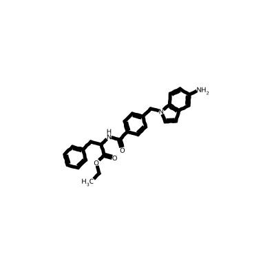 CCOC(=O)C(Cc1ccccc1)NC(=O)c1ccc(Cn2ccc3cc(N)ccc32)cc1